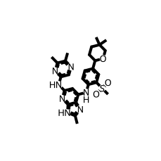 Cc1nc2c(Nc3ccc(C4CCC(C)(C)CO4)cc3S(C)(=O)=O)cc(Nc3cnc(C)c(C)n3)nc2[nH]1